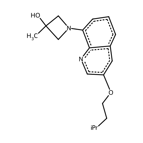 CC(C)CCOc1cnc2c(N3CC(C)(O)C3)cccc2c1